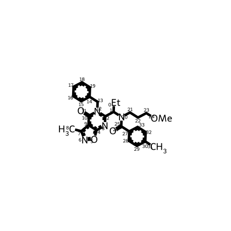 CCC(c1nc2onc(C)c2c(=O)n1Cc1ccccc1)N(CCCOC)C(=O)c1ccc(C)cc1